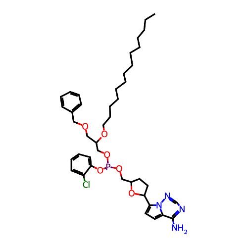 CCCCCCCCCCCCCCOC(COCc1ccccc1)COP(OCC1CCC(c2ccc3c(N)ncnn23)O1)Oc1ccccc1Cl